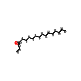 C=CC1=C(CCCCCCCCCCCCCC)O1